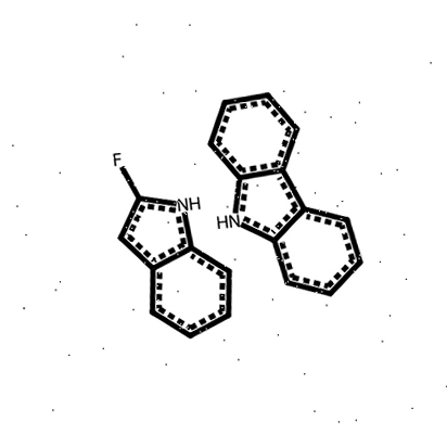 Fc1cc2ccccc2[nH]1.c1ccc2c(c1)[nH]c1ccccc12